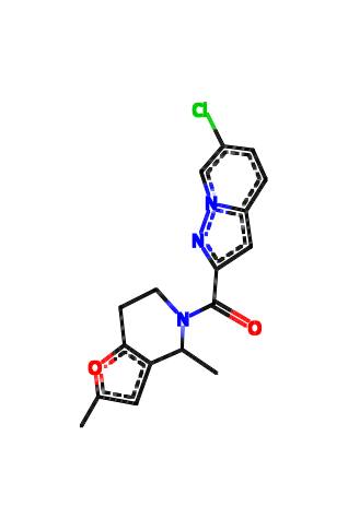 Cc1cc2c(o1)CCN(C(=O)c1cc3ccc(Cl)cn3n1)C2C